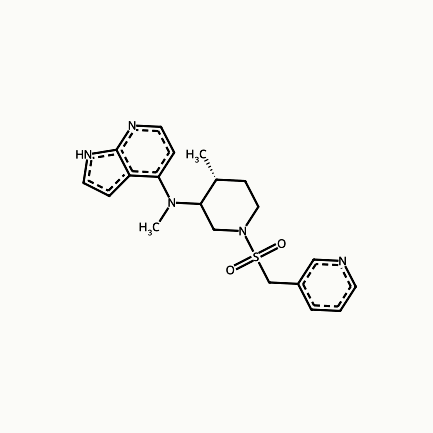 C[C@@H]1CCN(S(=O)(=O)Cc2cccnc2)CC1N(C)c1ccnc2[nH]ccc12